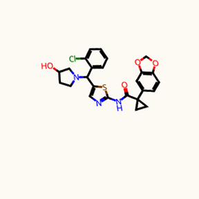 O=C(Nc1ncc(C(c2ccccc2Cl)N2CCC(O)C2)s1)C1(c2ccc3c(c2)OCO3)CC1